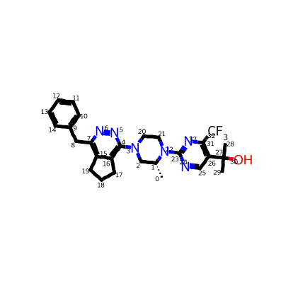 C[C@@H]1CN(c2nnc(Cc3ccccc3)c3c2CCC3)CCN1c1ncc(C(C)(C)O)c(C(F)(F)F)n1